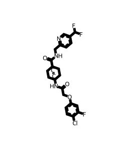 O=C(COc1ccc(Cl)c(F)c1)NC12CCC(C(=O)NCc3ccc(C(F)F)cn3)(CC1)CC2